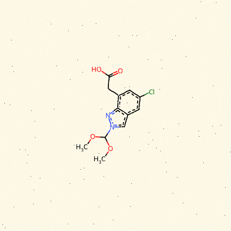 COC(OC)n1cc2cc(Cl)cc(CC(=O)O)c2n1